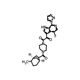 CC1CC[C@H]2C[C@@H]1CC2C(=O)N1CCN(C(=O)C(=O)c2c[nH]c3c(-n4ccnn4)ncc(F)c23)CC1